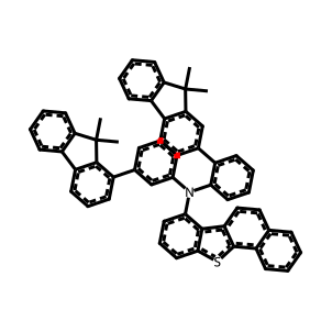 CC1(C)c2ccccc2-c2ccc(-c3ccccc3N(c3cccc(-c4cccc5c4C(C)(C)c4ccccc4-5)c3)c3cccc4sc5c6ccccc6ccc5c34)cc21